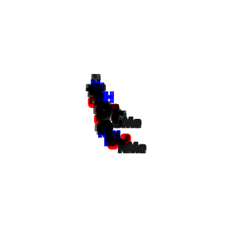 CNC(=O)c1nc(-c2ccc(Oc3cc(O[C@@H](C)COC)cc(C(=O)Nc4ccn(C)n4)c3)cn2)no1